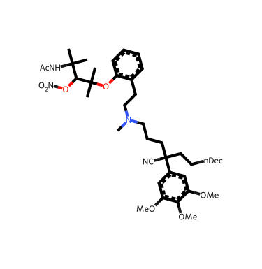 CCCCCCCCCCCCC(C#N)(CCCN(C)CCc1ccccc1OC(C)(C)C(O[N+](=O)[O-])C(C)(C)NC(C)=O)c1cc(OC)c(OC)c(OC)c1